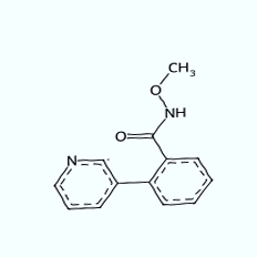 CONC(=O)c1ccccc1-c1[c]nccc1